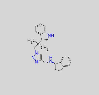 CC(C)(Cn1cc(CN[C@@H]2CCc3ccccc32)nn1)c1c[nH]c2ccccc12